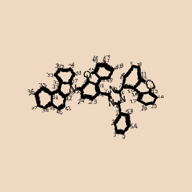 c1ccc(-c2nc(-c3cccc4oc5ccccc5c34)nc(-c3ccc(-n4c5ccccc5c5c6ccccc6ccc54)c4oc5ccccc5c34)n2)cc1